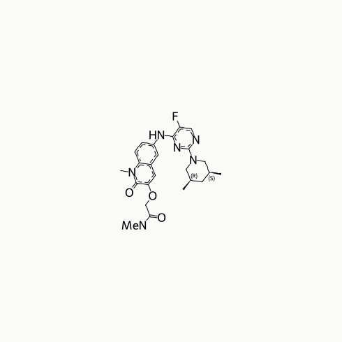 CNC(=O)COc1cc2cc(Nc3nc(N4C[C@H](C)C[C@H](C)C4)ncc3F)ccc2n(C)c1=O